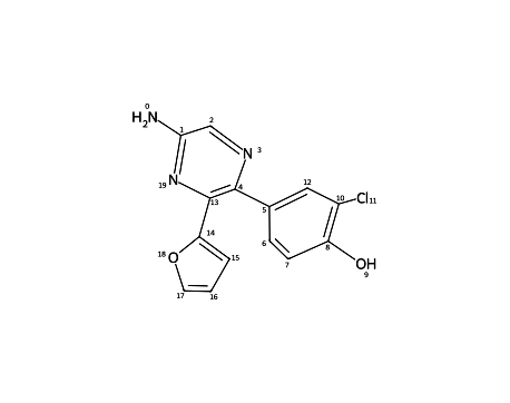 Nc1cnc(-c2ccc(O)c(Cl)c2)c(-c2ccco2)n1